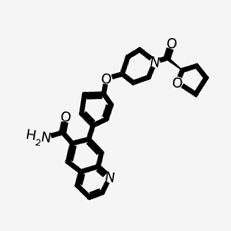 NC(=O)c1cc2cccnc2cc1-c1ccc(OC2CCN(C(=O)[C@H]3CCCO3)CC2)cc1